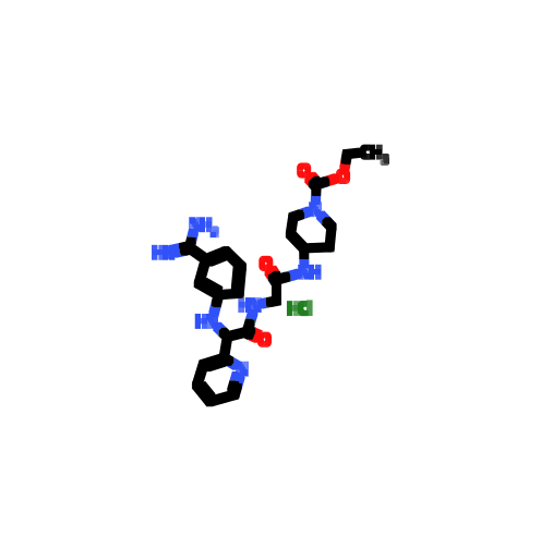 CCOC(=O)N1CCC(NC(=O)CNC(=O)C(Nc2cccc(C(=N)N)c2)c2ccccn2)CC1.Cl